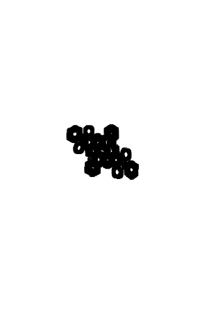 O=C1c2cnc3c4c(-c5ccccc5)cc5c6c(cnc(c7c(-c8ccccc8)cc(c2c37)C(=O)N1C1CCCCC1)c64)C(=O)N(C1CCCCC1)C5=O